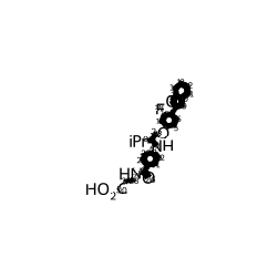 CC(C)C(COc1ccc(-c2cc3ccccc3o2)c(F)c1)Nc1ccc(C(=O)NCCC(=O)O)cc1